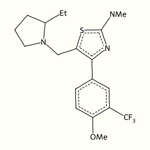 CCC1CCCN1Cc1sc(NC)nc1-c1ccc(OC)c(C(F)(F)F)c1